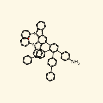 Nc1ccc(-c2ccc(-c3cc4c5ccccc5n(-c5ccccc5)c4c4c3c3ccccc3n4-c3ccccc3)c(-c3ccc(-c4ccccc4)cc3)c2-c2ccc(-c3ccccc3)cc2)cc1